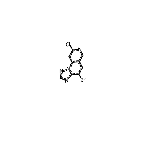 Clc1cc2c(cn1)cc(Br)c1ncnn12